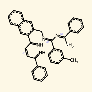 Cc1cccc(C(/N=C(\N)c2ccccc2)=N/Cc2cc3ccccc3cc2C(=N)/C=C\C(=N)c2ccccc2)c1